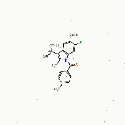 CCC(C)[C@@H](C(=O)O)c1c(C)n(C(=S)c2ccc(C)cc2)c2cc(F)c(OC)cc12